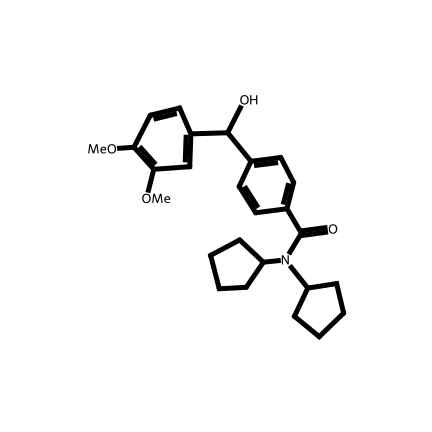 COc1ccc(C(O)c2ccc(C(=O)N(C3CCCC3)C3CCCC3)cc2)cc1OC